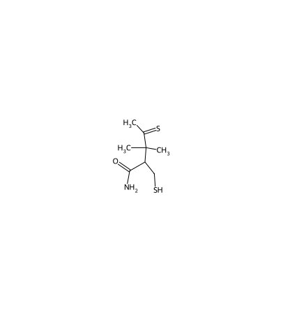 CC(=S)C(C)(C)C(CS)C(N)=O